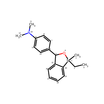 CC[Si]1(C)OC(c2ccc(N(C)C)cc2)c2ccccc21